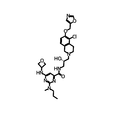 CCCN(C)c1nc(NC2COC2)cc(C(=O)NC[C@H](O)CN2CCc3c(ccc(OCc4cnco4)c3Cl)C2)n1